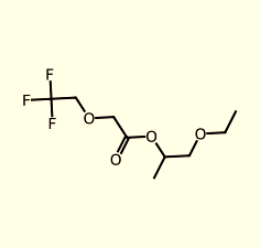 CCOCC(C)OC(=O)COCC(F)(F)F